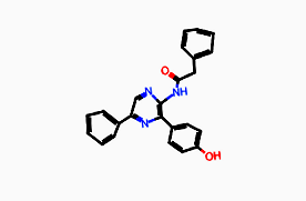 O=C(Cc1ccccc1)Nc1ncc(-c2ccccc2)nc1-c1ccc(O)cc1